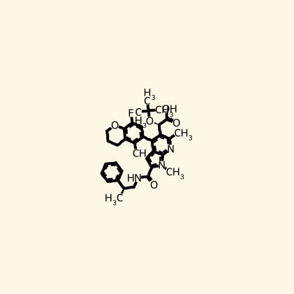 Cc1nc2c(cc(C(=O)NC[C@@H](C)c3ccccc3)n2C)c(-c2cc(F)c3c(c2C)CCCO3)c1[C@H](OC(C)(C)C)C(=O)O